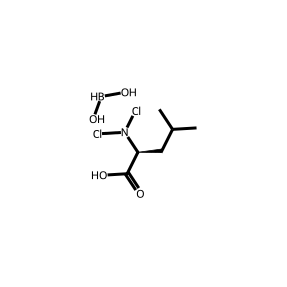 CC(C)C[C@@H](C(=O)O)N(Cl)Cl.OBO